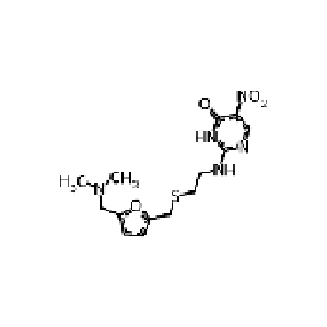 CN(C)Cc1ccc(CSCCNc2ncc([N+](=O)[O-])c(=O)[nH]2)o1